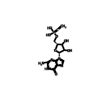 C=C=P(O)(O)OC[C@H]1O[C@@H](n2cnc3c(=O)[nH]c(N)nc32)C(O)C1O